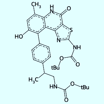 Cc1cc(O)c(-c2ccc(C(C)CNC(=O)OC(C)(C)C)cc2)c2c1[nH]c(=O)c1sc(NC(=O)OC(C)(C)C)nc12